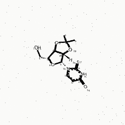 CC1(C)OC2[C@@H](CO)O[C@@H](n3ccc(=O)[nH]c3=S)[C@H]2O1